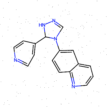 C1=NNC(c2ccncc2)N1c1ccc2ncccc2c1